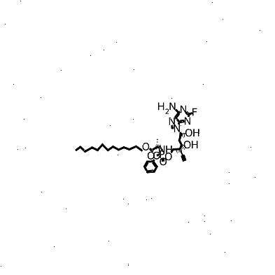 C#C[C@@H](COP(=O)(N[C@@H](C)C(=O)OCCCCCCCCCCCCC)Oc1ccccc1)[C@@H](O)C[C@@H](O)n1cnc2c(N)nc(F)nc21